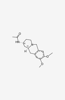 COc1cc2c(cc1OC)CN1CC[C@@H](NC(C)=O)C[C@@H]1C2